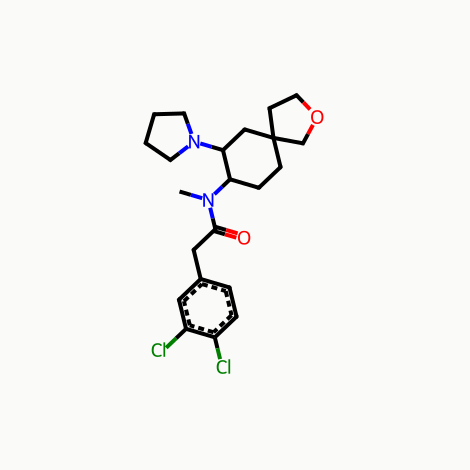 CN(C(=O)Cc1ccc(Cl)c(Cl)c1)C1CCC2(CCOC2)CC1N1CCCC1